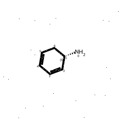 N[C@@H]1C=CC=CC1